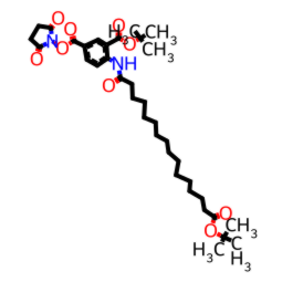 CC(C)(C)OC(=O)CCCCCCCCCCCCCCC(=O)Nc1ccc(C(=O)ON2C(=O)CCC2=O)cc1C(=O)OC(C)(C)C